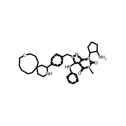 Cn1c(=O)c2c(Nc3ccccc3)n(Cc3ccc(C4CC5(CCCCCCCCC5)CCN4)cc3)nc2n(C2CCCC2N)c1=O